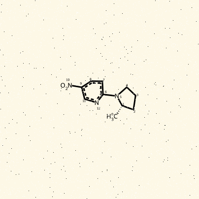 C[C@H]1CCCN1c1ccc([N+](=O)[O-])cn1